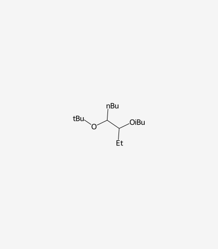 [CH2]CC(OCC(C)C)C(CCCC)OC(C)(C)C